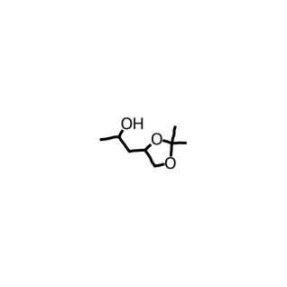 CC(O)CC1COC(C)(C)O1